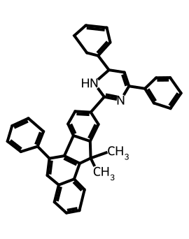 CC1(C)c2cc(C3=NC(c4ccccc4)=CC(C4=CC=CCC4)N3)ccc2-c2c(-c3ccccc3)cc3ccccc3c21